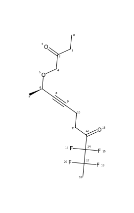 CCC(=O)CO[C@H](C)C#CCCC(=O)C(F)(F)C(C)(F)F